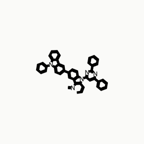 C=Nc1c(/C=C\C)n(-c2cc(-c3ccccc3)nc(-c3ccccc3)n2)c2ccc(-c3ccc4c(c3)c3ccccc3n4-c3ccccc3)cc12